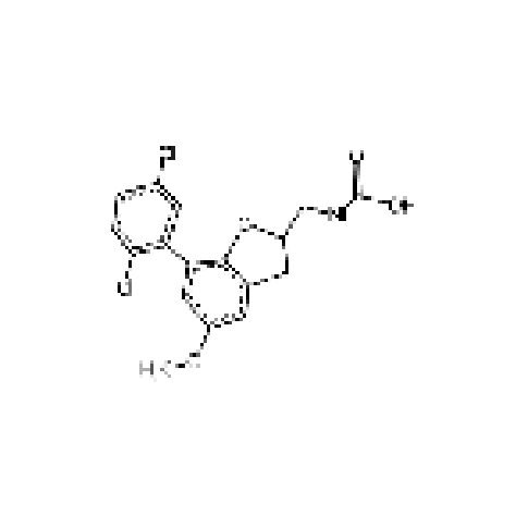 COc1cc2c(c(-c3cc(Cl)ccc3Cl)c1)OC(CNC(=O)O)C2